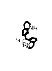 CC(c1ccc2c(c1)NCCC2)c1cccc2c1NCCC2